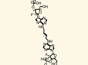 O=[PH](O)O[C@H]1[C@@H](F)[C@H](n2cnc3c(NC/C=C/CNc4ncnc5c4ncn5[C@@H]4OC(CO)[C@@H](O[PH](=O)O)[C@H]4F)ncnc32)O[C@@H]1CO